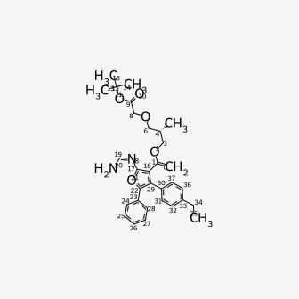 C=C(OC[C@@H](C)COCC(=O)OC(C)(C)C)c1c(/N=C\N)oc(-c2ccccc2)c1-c1ccc(CC)cc1